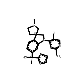 CN1CC[C@@]2(C1)CN(c1nc(N)ncc1Cl)c1cc([C@@](C)(O)c3nccs3)ccc12